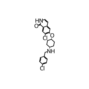 O=c1[nH]ccc2cc(O[C@H]3CC[C@@H](NCc4ccc(Cl)cc4)CC3)c(Cl)cc12